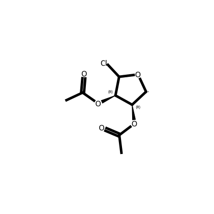 CC(=O)O[C@@H]1[CH]OC(Cl)[C@@H]1OC(C)=O